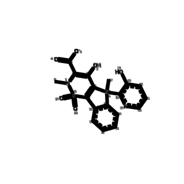 CN1C(C(=O)[O-])=C(O)C2=C(c3ccccc3[N+]2(C)c2ncccc2O)S1(=O)=O